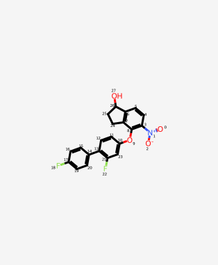 O=[N+]([O-])c1ccc2c(c1Oc1ccc(-c3ccc(F)cc3)c(F)c1)CCC2O